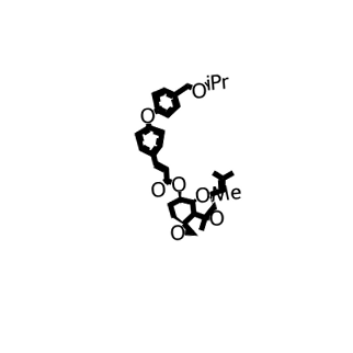 CO[C@H]1C(C2(C)O[C@H]2CC=C(C)C)[C@]2(CC[C@H]1OC(=O)/C=C/c1ccc(Oc3ccc(COC(C)C)cc3)cc1)CO2